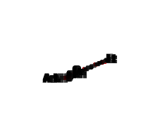 CCC=CCC=CCC=CCC=CCC=CCCCC(=O)NCCSSCCNC(C)=O